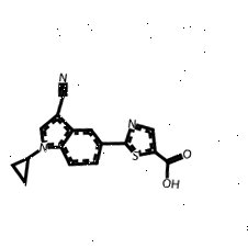 N#Cc1cn(C2CC2)c2ccc(-c3ncc(C(=O)O)s3)cc12